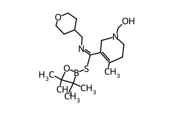 CC1=C(/C(=N\CC2CCOCC2)SB2OC(C)(C)C2(C)C)CN(CO)CC1